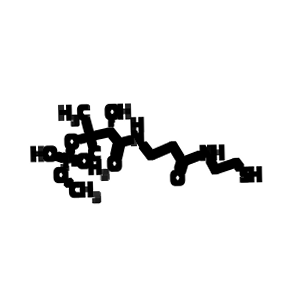 COP(=O)(O)OC(C)(C)[C@H](O)C(=O)NCCC(=O)NCCS